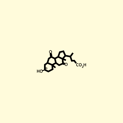 CC(CCC(=O)O)C1CCC2C3C(=O)CC4C[C@H](O)CCC4(C)C3CC(=O)C12C